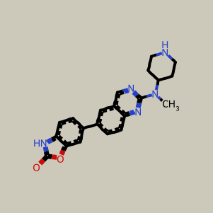 CN(c1ncc2cc(-c3ccc4[nH]c(=O)oc4c3)ccc2n1)C1CCNCC1